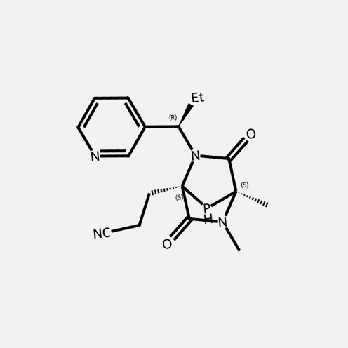 CC[C@H](c1cccnc1)N1C(=O)[C@]2(C)P[C@@]1(CCC#N)C(=O)N2C